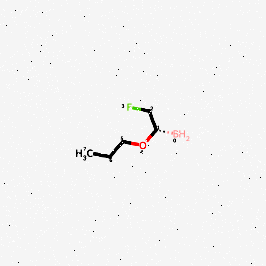 B[C@@H](CF)OCCC